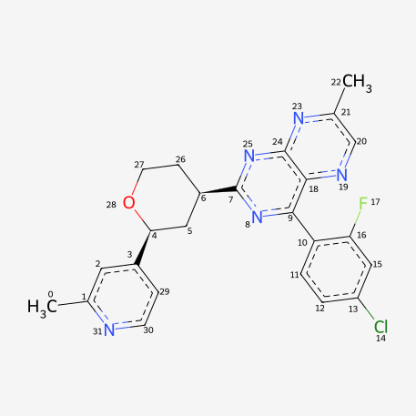 Cc1cc([C@@H]2C[C@H](c3nc(-c4ccc(Cl)cc4F)c4ncc(C)nc4n3)CCO2)ccn1